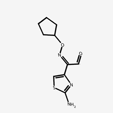 Nc1nc(C([C]=O)=NOC2CCCC2)cs1